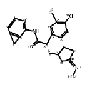 O=C(Nc1nccc2c1C2)[C@@H](CC1CC/C(=N/O)C1)c1ccc(Cl)c(Cl)c1